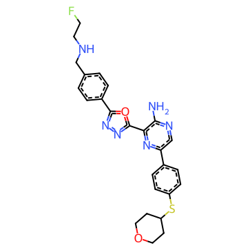 Nc1ncc(-c2ccc(SC3CCOCC3)cc2)nc1-c1nnc(-c2ccc(CNCCF)cc2)o1